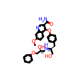 COc1ccc2c(Oc3ccc(C[C@@H](CO)NC[C@H](O)COc4ccccc4)cc3)c(C(N)=O)cnc2c1